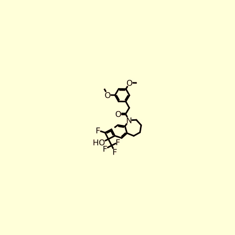 C/C=C1\C(=C/C2=C=C(F)C2(O)C(F)(F)F)CCCCN1C(=O)Cc1cc(OC)cc(OC)c1